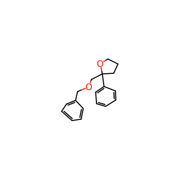 c1ccc(COCC2(c3ccccc3)CCCO2)cc1